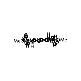 COC(=O)N[C@H](C(=O)N1C2C(C[C@H]1c1nc3ccc(-c4ccc5nc(-c6ccc7nc([C@@H]8C[C@H]9C[C@H]9N8C(=O)[C@@H](NC(=O)OC)C8CCOCC8)[nH]c7c6)ccc5c4)cc3[nH]1)[C@H]2C)C1CCOCC1